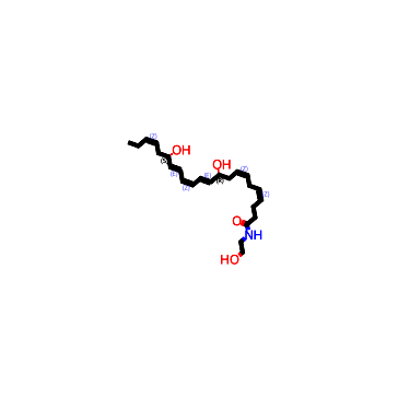 CC/C=C\C[C@H](O)/C=C/C=C\C=C\[C@H](O)C/C=C\C/C=C\CCC(=O)NCCO